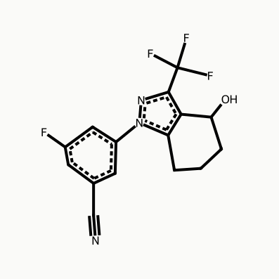 N#Cc1cc(F)cc(-n2nc(C(F)(F)F)c3c2CCCC3O)c1